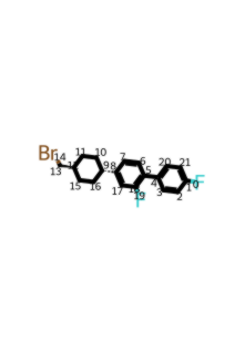 Fc1ccc(-c2ccc([C@H]3CC[C@H](CBr)CC3)cc2F)cc1